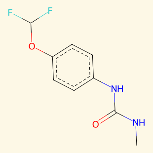 CNC(=O)Nc1ccc(OC(F)F)cc1